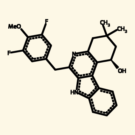 COc1c(F)cc(Cc2nc3c(c4c2[nH]c2ccccc24)[C@H](O)CC(C)(C)C3)cc1F